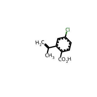 C=C(C)c1cc(Cl)ccc1C(=O)O